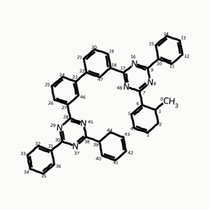 CC1CC=CC=C1c1nc(-c2ccccc2)nc(-c2cccc(-c3cccc(-c4nc(-c5ccccc5)nc(C5C=CC=CC5)n4)c3)c2)n1